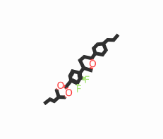 CCCC1CCC(C2CCC(c3ccc(C4OCC(CCC)CO4)c(F)c3F)CO2)CC1